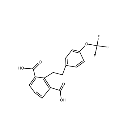 O=C(O)c1cccc(C(=O)O)c1CCc1ccc(OC(F)(F)F)cc1